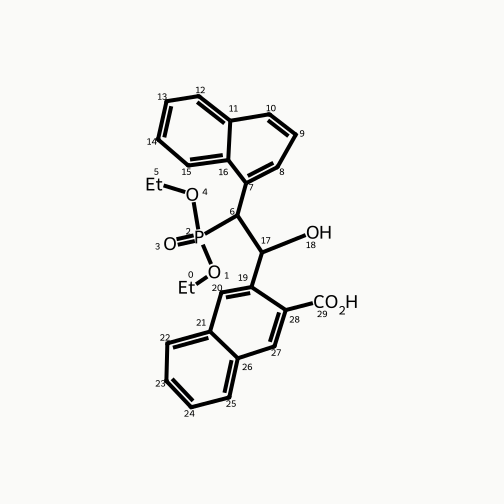 CCOP(=O)(OCC)C(c1cccc2ccccc12)C(O)c1cc2ccccc2cc1C(=O)O